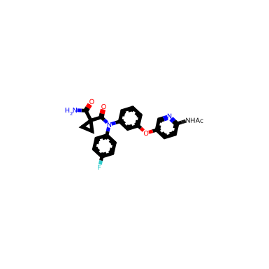 CC(=O)Nc1ccc(Oc2cccc(N(C(=O)C3(C(N)=O)CC3)c3ccc(F)cc3)c2)cn1